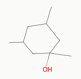 CC1CC(C)CC(C)(O)C1